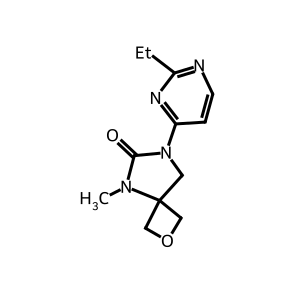 CCc1nccc(N2CC3(COC3)N(C)C2=O)n1